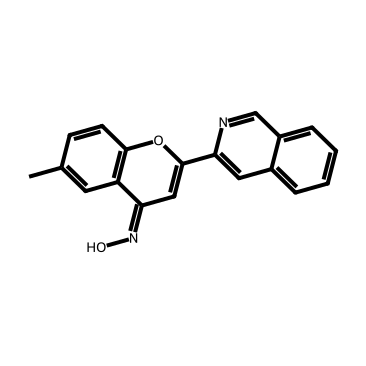 Cc1ccc2oc(-c3cc4ccccc4cn3)c/c(=N/O)c2c1